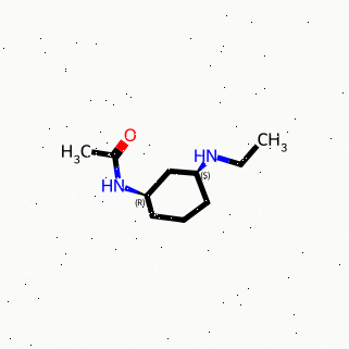 CCN[C@H]1CCC[C@@H](NC(C)=O)C1